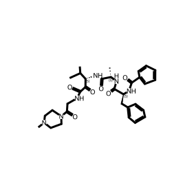 CC(C)[C@H](NC(=O)[C@H](C)NC(=O)[C@H](Cc1ccccc1)NC(=O)c1ccccc1)C(=O)C(=O)NCC(=O)N1CCN(C)CC1